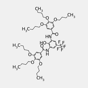 CCCCOc1cc(C(=O)Nc2cc(S(F)(F)(F)(F)F)cc(NC(=O)c3cc(OCCCC)c(OCCCC)c(OCCCC)c3)c2O)cc(OCCCC)c1OCCCC